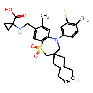 CCCCC1(CCCC)CN(c2ccc(C)c(F)c2)c2cc(C)c(CNC3(C(=O)O)CC3)cc2S(=O)(=O)C1